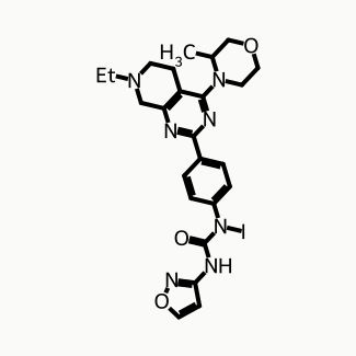 CCN1CCc2c(nc(-c3ccc(N(I)C(=O)Nc4ccon4)cc3)nc2N2CCOCC2C)C1